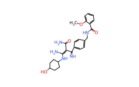 COc1ccccc1C(=O)NCc1ccc(C(=N)/C(C(N)=O)=C(/N)NC2CCC(O)CC2)cc1